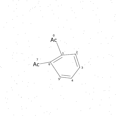 CC(=O)c1[c]cc[c]c1C(C)=O